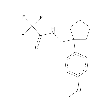 COc1ccc(C2(CNC(=O)C(F)(F)F)CCCC2)cc1